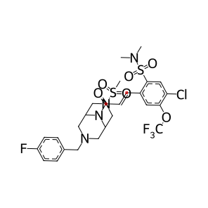 CN(C)S(=O)(=O)c1cc(Cl)c(OC(F)(F)F)cc1C=CC(=O)N1C2CN(Cc3ccc(F)cc3)CC1CN(S(C)(=O)=O)C2